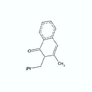 CC1=Cc2ccccc2C(=O)C1CC(C)C